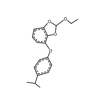 CCOC1Oc2cccc(Oc3ccc(C(C)C)cc3)c2O1